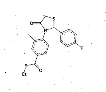 CCSC(=O)c1ccc(N2C(=O)CSC2c2ccc(F)cc2)c(C)c1